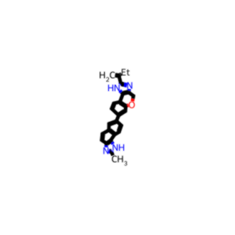 C=C(CC)c1nc2c([nH]1)-c1ccc(-c3ccc4c(ccc5nc(C)[nH]c54)c3)cc1OC2